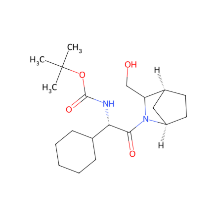 CC(C)(C)OC(=O)N[C@H](C(=O)N1C(CO)[C@H]2CC[C@@H]1C2)C1CCCCC1